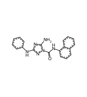 Nc1nc(Nc2ccccc2)nn1C(=O)Nc1cccc2ccccc12